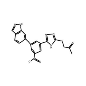 CC(=O)CSc1nnc(-c2cc(-c3ccc4cn[nH]c4c3)cc([N+](=O)[O-])c2)[nH]1